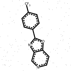 FC(F)(F)c1ccc(-c2nc3cnccc3o2)cc1